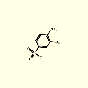 CC(=O)c1cc(S(=O)(=O)Cl)ccc1N